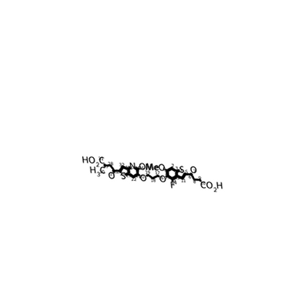 COc1cc2sc(C(=O)CCC(=O)O)cc2c(F)c1OCCCOc1cc2sc(C(=O)CC(C)C(=O)O)cc2nc1OC